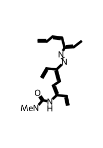 C=C/C=C\C(=C/C)N=N/C(C=C)=C/C=C(\C=C)NC(=O)NC